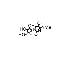 CNc1nc(=O)n([C@@H]2O[C@H](CO)C(O)C2O)cc1O